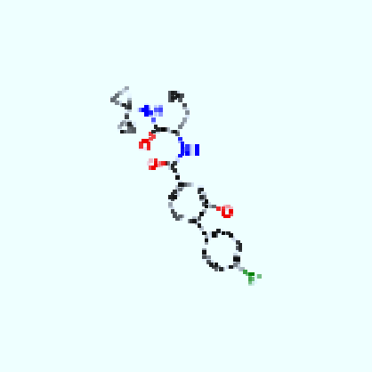 CC(C)C[C@H](NC(=O)c1ccc2c(c1)oc1cc(Br)ccc12)C(=O)NC1(C#N)CC1